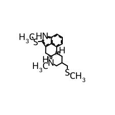 CSCC1C[C@H]2c3cccc4[nH]c(SC)c(c34)C[C@@H]2N(C)C1